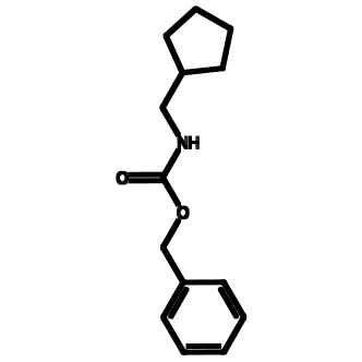 O=C(NCC1CCCC1)OCc1ccccc1